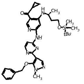 C[C@@H](CCO[Si](C)(C)C(C)(C)C)Nc1cc(Nc2ccnc(-c3cnn(C)c3OCc3ccccc3)n2)ncc1C(=O)C1CC1